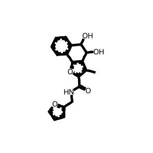 Cc1c(C(=O)NCc2ccco2)oc2c1C(O)C(O)c1ccccc1-2